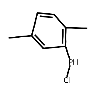 Cc1ccc(C)c(PCl)c1